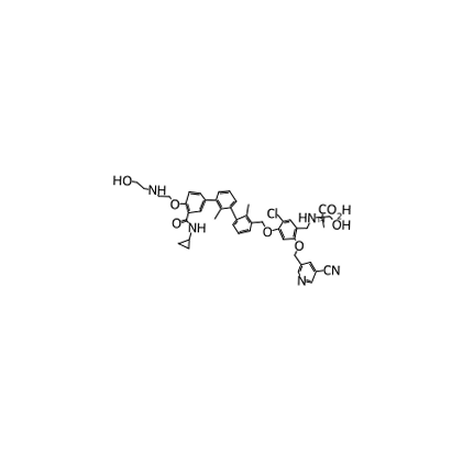 Cc1c(COc2cc(OCc3cncc(C#N)c3)c(CN[C@@](C)(CO)C(=O)O)cc2Cl)cccc1-c1cccc(-c2ccc(OCCNCCO)c(C(=O)NC3CC3)c2)c1C